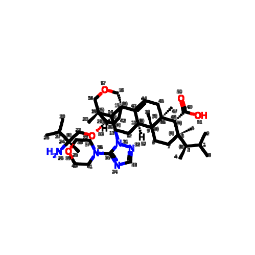 CC(C)[C@@H](C)[C@@]1(C)CC[C@]2(C)[C@H]3CC[C@@H]4[C@@]5(COC[C@@]4(C)[C@@H](OC[C@](C)(N)C(C)C)[C@H](n4ncnc4N4CCOCC4)C5)C3=CC[C@@]2(C)[C@@H]1C(=O)O